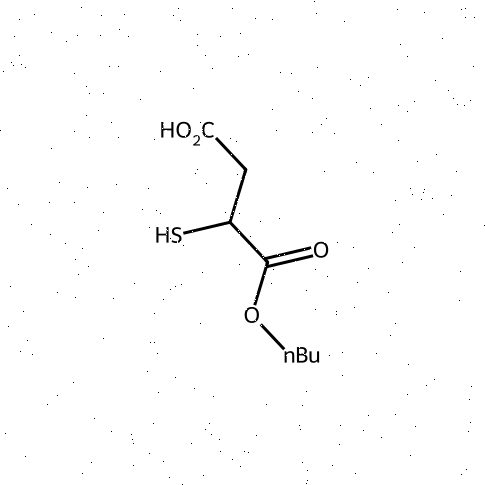 CCCCOC(=O)C(S)CC(=O)O